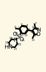 Cc1ccc(-c2c(C)noc2C)cc1S(=O)(=O)N1CCNCC1